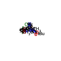 CC1CN(C(=O)OC(C)(C)C)CC(C)N1c1nc(-c2cccc(NS(=O)(=O)c3c(F)cccc3F)c2F)c(-c2ccnc(Cl)n2)s1